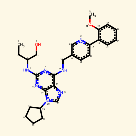 CCC(CO)Nc1nc(NCc2ccc(-c3ccccc3OC)nc2)c2ncn(C3CCCC3)c2n1